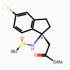 COC(=O)C[C@]1(N[S+]([O-])C(C)(C)C)CCc2cc(F)ccc21